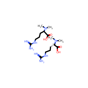 CN(C)C(CCCNC(=N)N)C(=O)O.CN(C)[C@@H](CCCNC(=N)N)C(=O)O